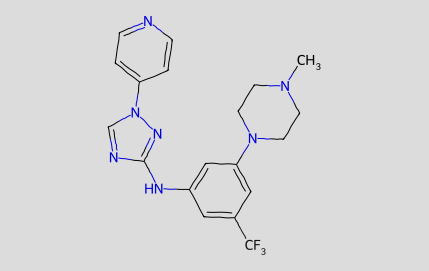 CN1CCN(c2cc(Nc3ncn(-c4ccncc4)n3)cc(C(F)(F)F)c2)CC1